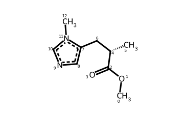 COC(=O)[C@@H](C)Cc1cncn1C